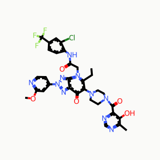 CCc1c(N2CCN(C(=O)c3ncnc(C)c3O)CC2)c(=O)c2nn(-c3ccnc(OC)c3)nc2n1CC(=O)Nc1ccc(C(F)(F)F)cc1Cl